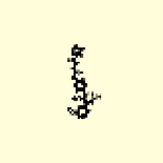 COc1cc(/C(C=N)=C(\O)Nc2ccc(C(=O)NCCCN3CCCC3)cn2)ccn1